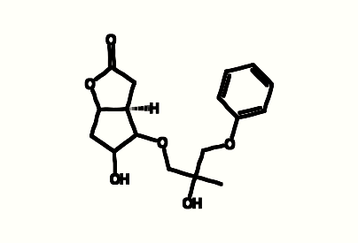 CC(O)(COc1ccccc1)COC1C(O)CC2OC(=O)C[C@H]21